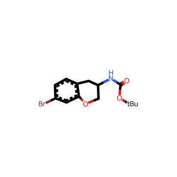 CC(C)(C)OC(=O)NC1COc2cc(Br)ccc2C1